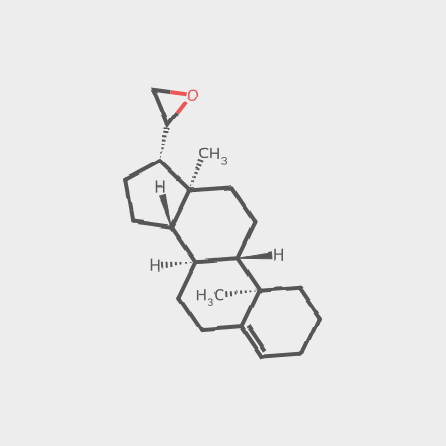 C[C@]12CC[C@H]3[C@@H](CCC4=CCCC[C@@]43C)[C@@H]1CC[C@@H]2C1CO1